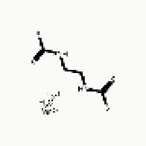 O.O.S=C([S-])NCCNC(=S)[S-].[Mn+2]